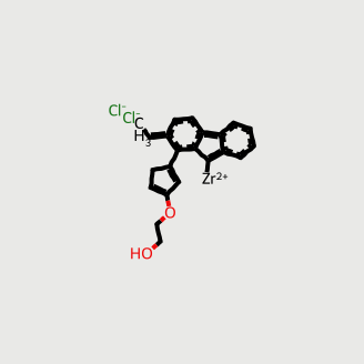 CC=c1ccc2c(c1C1=CC(OCCO)=CC1)[C]([Zr+2])=c1ccccc1=2.[Cl-].[Cl-]